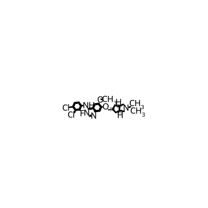 COc1cc2c(Nc3ccc(Cl)c(Cl)c3F)ncnc2cc1OC[C@H]1C[C@@H]2CN(C(C)C)C[C@@H]2C1